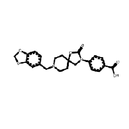 O=C(O)c1ccc(N2CC3(CCN(Cc4ccc5c(c4)OCO5)CC3)OC2=O)cc1